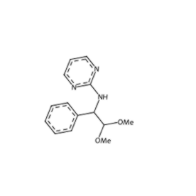 COC(OC)C(Nc1ncccn1)c1ccccc1